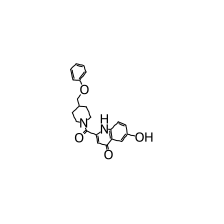 O=C(c1cc(=O)c2cc(O)ccc2[nH]1)N1CCC(COc2ccccc2)CC1